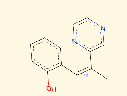 C/C(=C/c1ccccc1O)c1cnccn1